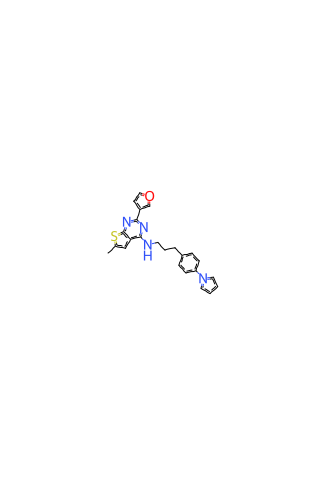 Cc1cc2c(NCCCc3ccc(-n4cccc4)cc3)nc(-c3ccoc3)nc2s1